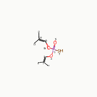 CC(C)=COP(=O)(S)OC=C(C)C